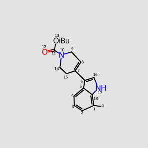 Cc1cccc2c(C3=CCN(C(=O)OCC(C)C)CC3)c[nH]c12